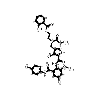 CNC(=O)N(CCOC(=O)c1ccccc1O)Cc1csc(C(=O)Nc2c(OC)cc(Cl)cc2C(=O)Nc2ccc(Cl)cn2)c1Cl